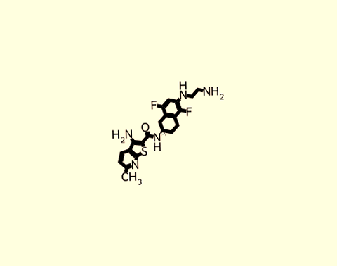 Cc1ccc2c(N)c(C(=O)N[C@H]3CCc4c(F)c(NCCN)cc(F)c4C3)sc2n1